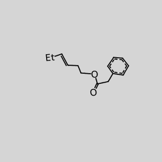 CCC=CCCOC(=O)Cc1ccccc1